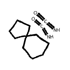 C1CCC2(CC1)CCCC2.N=C=O.N=C=O